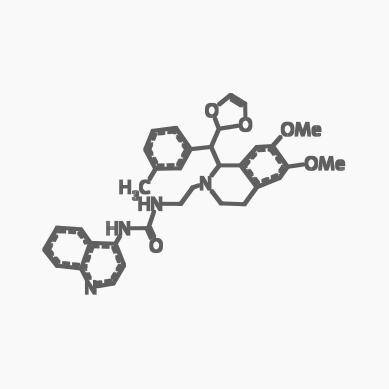 COc1cc2c(cc1OC)C(C(c1cccc(C)c1)C1OC=CO1)N(CCNC(=O)Nc1ccnc3ccccc13)CC2